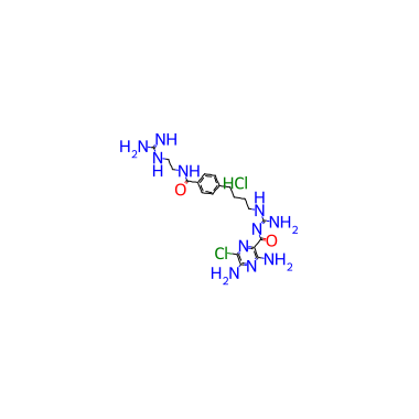 Cl.N=C(N)NCCNC(=O)c1ccc(CCCCNC(N)=NC(=O)c2nc(Cl)c(N)nc2N)cc1